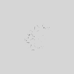 CNC(=O)c1ccc(Nc2nc(OC3CCCC3)c3c(-c4cccc(OC)c4)c[nH]c3n2)c(Cl)c1